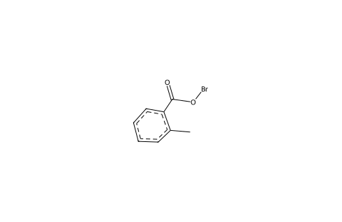 Cc1ccccc1C(=O)OBr